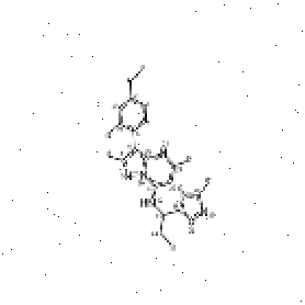 CCc1ccc(-c2c(C)nn3c(NC(CC)c4nc(C)no4)cc(C)nc23)c(C)c1